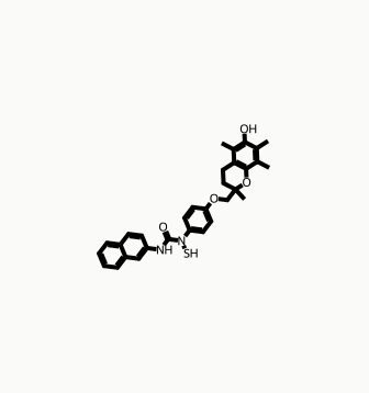 Cc1c(C)c2c(c(C)c1O)CCC(C)(COc1ccc(N(S)C(=O)Nc3ccc4ccccc4c3)cc1)O2